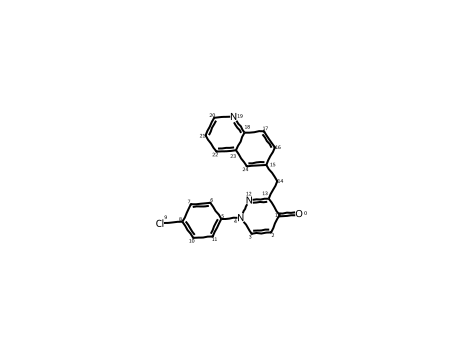 O=c1ccn(-c2ccc(Cl)cc2)nc1Cc1ccc2ncccc2c1